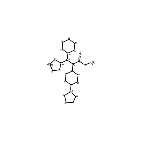 CC(C)(C)OC(=O)N(C1CCC(N2CCCC2)CC1)N(C1CCCCC1)C1CCNC1